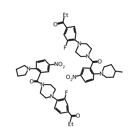 CCC(=O)c1ccc(N2CCN(C(=O)c3cc([N+](=O)[O-])ccc3N3CCC(C)CC3)CC2)c(F)c1.CCC(=O)c1ccc(N2CCN(C(=O)c3cc([N+](=O)[O-])ccc3N3CCCC3)CC2)c(F)c1